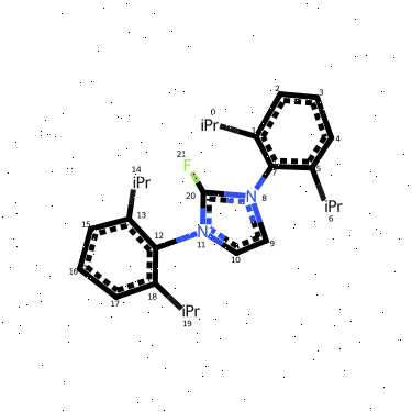 CC(C)c1cccc(C(C)C)c1-n1cc[n+](-c2c(C(C)C)cccc2C(C)C)c1F